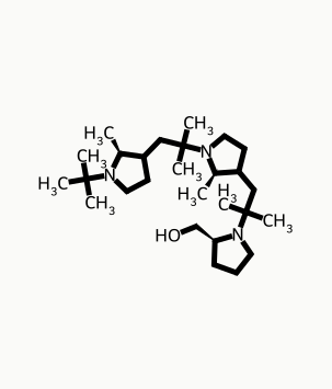 C[C@@H]1C(CC(C)(C)N2CCC[C@H]2CO)CCN1C(C)(C)CC1CCN(C(C)(C)C)[C@H]1C